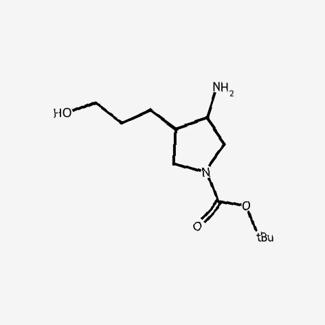 CC(C)(C)OC(=O)N1CC(N)C(CCCO)C1